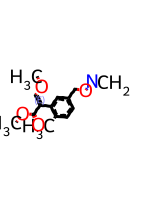 C=NOCc1ccc(C)c(/C(=C\OC)C(=O)OC)c1